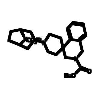 CCOC(=O)N1C2CCC1CC(N1CCC3(CC1)CN(C(=O)OCC(C)C)Cc1ccccc13)C2